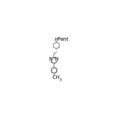 CCCCC[C@H]1CC[C@H](CCc2ncc(-c3ccc(C)cc3)cn2)CC1